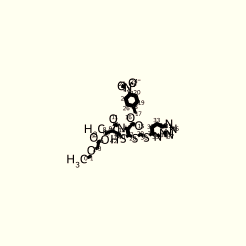 CCOCC(=O)O[C@H](C)[C@H]1C(=O)N2C(C(=O)OCc3ccc([N+](=O)[O-])cc3)=C(SCSc3ccc4nnnn4n3)S[C@H]12